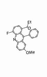 CCC(=O)c1ccc(F)c2nc3ccc(OC)cc3c(-c3ccccc3)c12